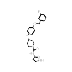 O=C(Nc1b[nH]cc1)N1CCC(Oc2ccc(OCc3cccc(F)c3)cc2)CC1